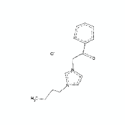 CCCC[n+]1ccn(CC(=O)c2ccccc2)c1.[Cl-]